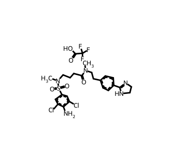 CN(CCc1ccc(C2=NCCN2)cc1)C(=O)CCCN(C)S(=O)(=O)c1cc(Cl)c(N)c(Cl)c1.O=C(O)C(F)(F)F